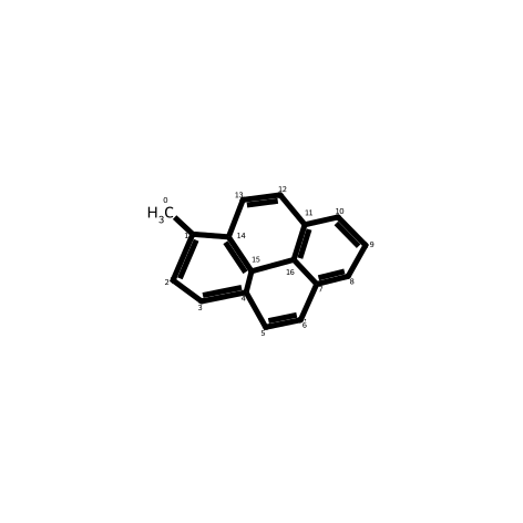 Cc1ccc2c[c]c3cccc4ccc1c2c34